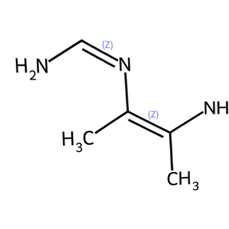 C/C(N)=C(C)/N=C\N